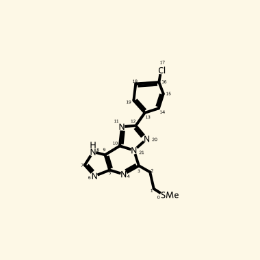 CSCCc1nc2nc[nH]c2c2nc(-c3ccc(Cl)cc3)nn12